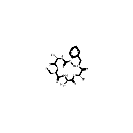 CC(C)C[C@@H](OC(=O)[C@@H](NC(=O)OC(C)(C)C)C(C)C)C(=O)N[C@H](C)C(=O)O[C@H](C(=O)OCc1ccccc1)C(C)C